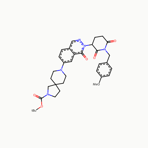 COc1ccc(CN2C(=O)CCC(n3ncc4ccc(N5CCC6(CCN(C(=O)OC(C)(C)C)C6)CC5)cc4c3=O)C2=O)cc1